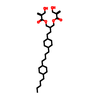 C=C(CO)C(=O)OCC(CCC1CCC(CCCCC2CCC(CCCCC)CC2)CC1)COC(=O)C(=C)CO